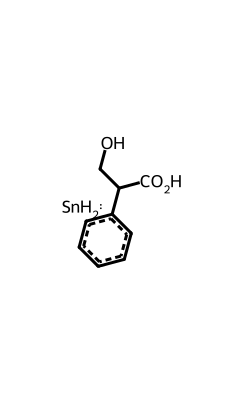 O=C(O)C(CO)c1ccccc1.[SnH2]